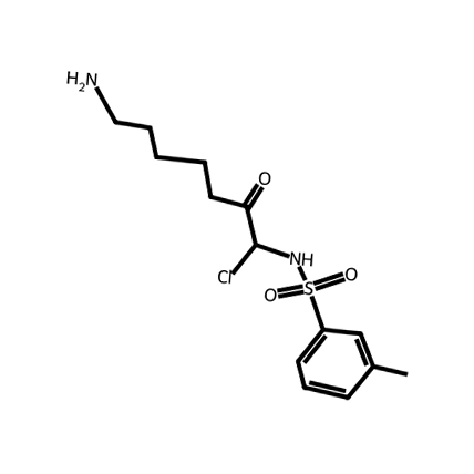 Cc1cccc(S(=O)(=O)NC(Cl)C(=O)CCCCCN)c1